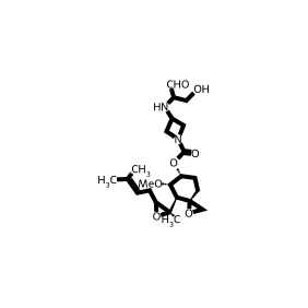 CO[C@@H]1[C@H](OC(=O)N2CC(NC(C=O)CO)C2)CC[C@]2(CO2)[C@H]1[C@@]1(C)OC1CC=C(C)C